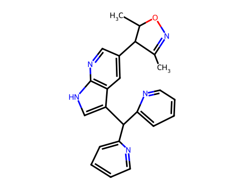 CC1=NOC(C)C1c1cnc2[nH]cc(C(c3ccccn3)c3ccccn3)c2c1